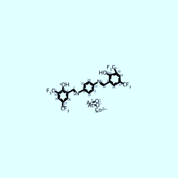 CC(=O)[O-].CC(=O)[O-].Oc1c(C=Nc2ccc(N=Cc3cc(C(F)(F)F)cc(C(F)(F)F)c3O)cc2)cc(C(F)(F)F)cc1C(F)(F)F.[Co+2]